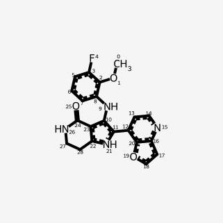 COc1c(F)cccc1Nc1c(-c2ccnc3ccoc23)[nH]c2c1C(=O)NCC2